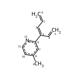 C=C/C=C(\C=C)c1cc(C)ccn1